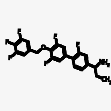 CCC(N)c1ccc(-c2cc(F)c(OCc3cc(F)c(F)c(F)c3)c(F)c2)c(F)c1